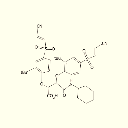 CC(C)(C)c1cc(S(=O)(=O)C=CC#N)ccc1OC(C(=O)O)C(Oc1ccc(S(=O)(=O)C=CC#N)cc1C(C)(C)C)C(=O)NC1CCCCC1